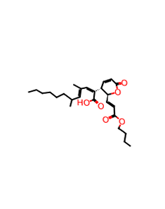 CCCCCCC(C)C=C(C)C=C(C(=O)O)[C@@H]1C=CC(=O)O[C@H]1C=CC(=O)OCCCC